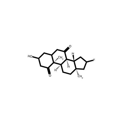 C[C@]12CC[C@@H]3[C@@H](C(=O)CC4CC(O)CC(=O)[C@@]43C)[C@@H]1CC(F)C2